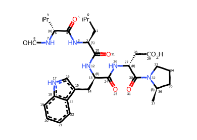 CC(C)C[C@H](NC(=O)[C@H](NC=O)C(C)C)C(=O)N[C@H](Cc1c[nH]c2ccccc12)C(=O)N[C@H](CC(=O)O)C(=O)N1CCC[C@H]1C